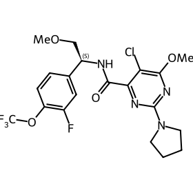 COC[C@@H](NC(=O)c1nc(N2CCCC2)nc(OC)c1Cl)c1ccc(OC(F)(F)F)c(F)c1